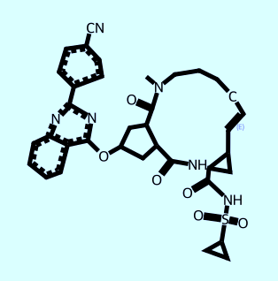 CN1CCCC/C=C/C2CC2(C(=O)NS(=O)(=O)C2CC2)NC(=O)C2CC(Oc3nc(-c4ccc(C#N)cc4)nc4ccccc34)CC2C1=O